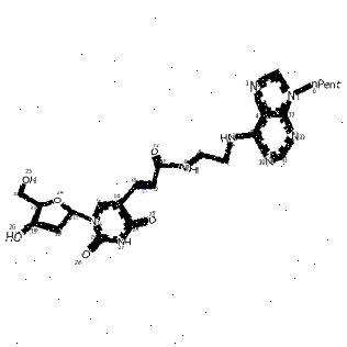 CCCCCn1cnc2c(NCCNC(=O)/C=C/c3cn(C4CC(O)C(CO)O4)c(=O)[nH]c3=O)ncnc21